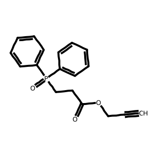 C#CCOC(=O)CCP(=O)(c1ccccc1)c1ccccc1